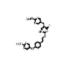 COc1ncc(Cc2c[nH]c(OCCc3ccc(Oc4cnc(C)nc4)cc3)nc2=O)cn1